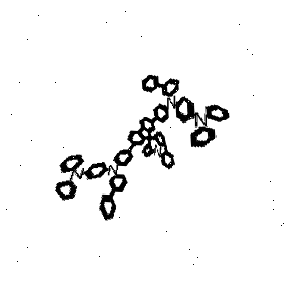 c1ccc(-c2cccc(N(c3ccc(-c4ccc5c(c4)C4(c6cc(-c7ccc(N(c8ccc(N(c9ccccc9)c9ccccc9)cc8)c8cccc(-c9ccccc9)c8)cc7)ccc6-5)c5ccccc5-n5c6ccccc6c6cccc4c65)cc3)c3ccc(N(c4ccccc4)c4ccccc4)cc3)c2)cc1